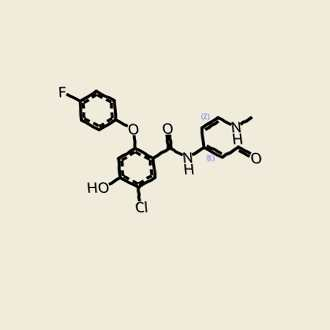 CN/C=C\C(=C/C=O)NC(=O)c1cc(Cl)c(O)cc1Oc1ccc(F)cc1